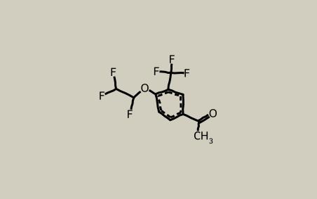 CC(=O)c1ccc(OC(F)C(F)F)c(C(F)(F)F)c1